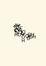 CC1=NN(C)c2ccnc3c2[n+]1cn3C1O[C@H](COP(=O)(O)O)[C@@H](O)[C@H]1O